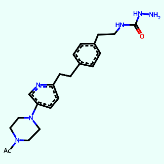 CC(=O)N1CCN(c2ccc(CCc3ccc(CCNC(=O)NN)cc3)nc2)CC1